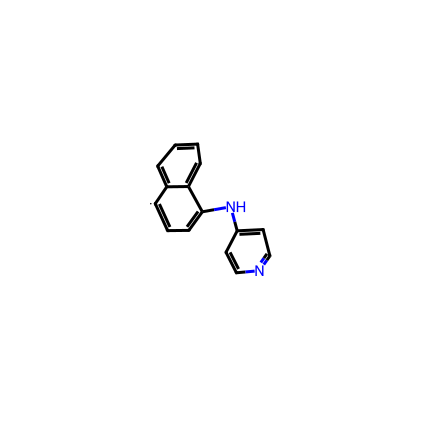 [c]1ccc(Nc2ccncc2)c2ccccc12